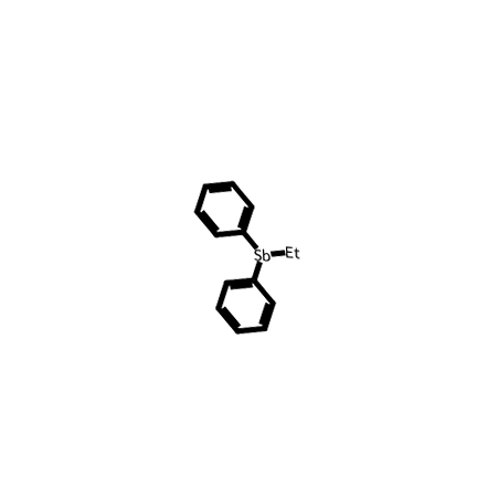 C[CH2][Sb]([c]1ccccc1)[c]1ccccc1